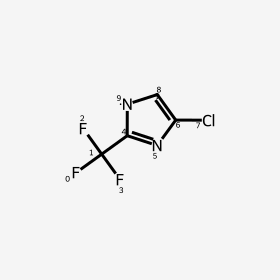 FC(F)(F)C1=NC(Cl)=[C][N]1